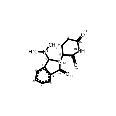 CN(C)C1c2ccccc2C(=O)N1C1CCC(=O)NC1=O